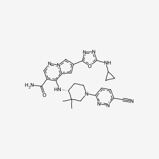 CC1(C)CN(c2ccc(C#N)nn2)CC[C@H]1Nc1c(C(N)=O)cnn2cc(-c3nnc(NC4CC4)o3)cc12